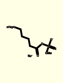 CCCCCCCCCCCC(=O)OP([O-])(=S)OC.[Na+]